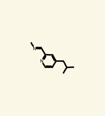 C/N=C/c1cc(CC(C)C)ccn1